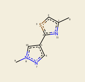 Cc1csc(-c2cnn(C)c2)n1